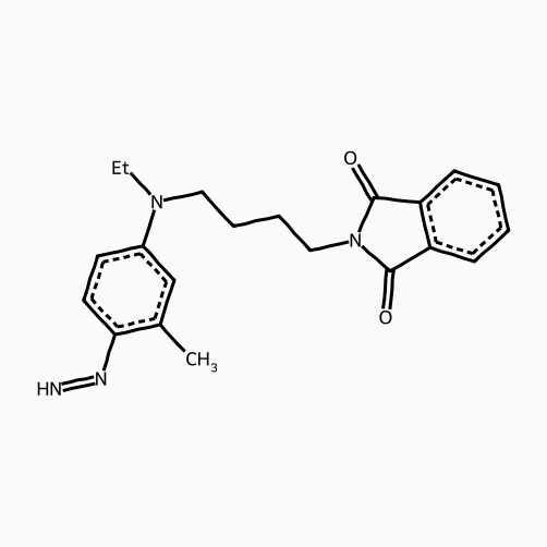 CCN(CCCCN1C(=O)c2ccccc2C1=O)c1ccc(N=N)c(C)c1